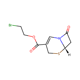 O=C(OCCBr)C1=CN2C(=O)C[C@@H]2SC1